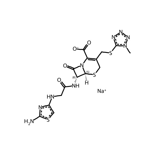 Cn1nnnc1SCC1=C(C(=O)[O-])N2C(=O)[C@@H](NC(=O)CNc3csc(N)n3)[C@@H]2SC1.[Na+]